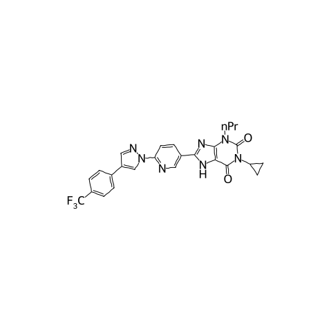 CCCn1c(=O)n(C2CC2)c(=O)c2[nH]c(-c3ccc(-n4cc(-c5ccc(C(F)(F)F)cc5)cn4)nc3)nc21